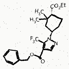 CCOC(=O)[C@@H]1CC[C@@H](n2ncc(C(=O)OCc3ccccc3)c2C(F)(F)F)CC1(C)C